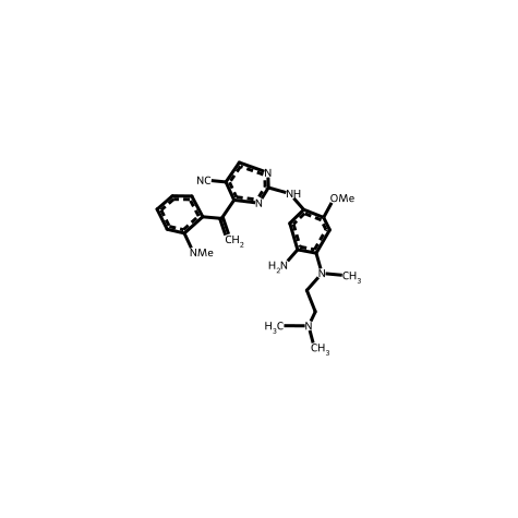 C=C(c1ccccc1NC)c1nc(Nc2cc(N)c(N(C)CCN(C)C)cc2OC)ncc1C#N